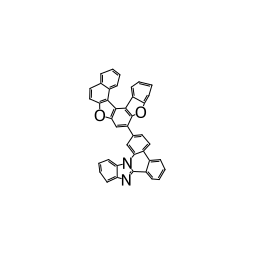 c1ccc2c(c1)ccc1oc3cc(-c4ccc5c6ccccc6c6nc7ccccc7n6c5c4)c4oc5ccccc5c4c3c12